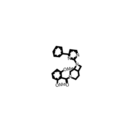 COc1cccc(OC)c1C(=O)N1CCC2CN(c3nccc(-c4ccccc4)n3)C2C1